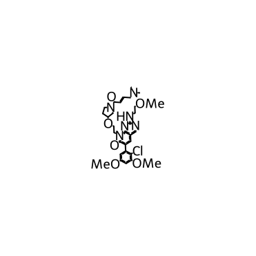 COCCNc1ncc2cc(-c3cc(OC)cc(OC)c3Cl)c(=O)n(CCOC3CCN(C(=O)C=CCN(C)C)C3)c2n1